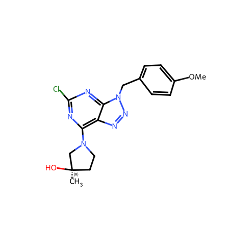 COc1ccc(Cn2nnc3c(N4CC[C@@](C)(O)C4)nc(Cl)nc32)cc1